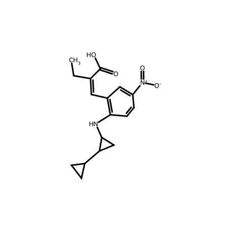 CCC(=Cc1cc([N+](=O)[O-])ccc1NC1CC1C1CC1)C(=O)O